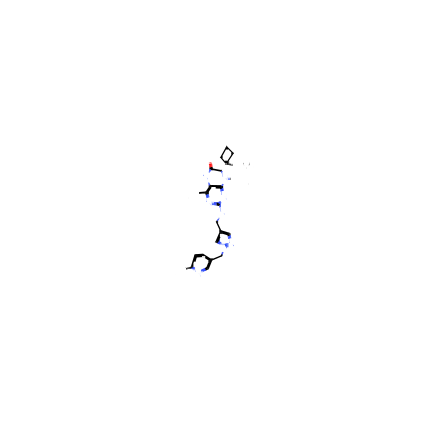 COC1([C@H]2C(=O)Nc3c(C)nc(NCc4cnn(Cc5ccc(C(F)(F)F)nc5)c4)nc3N2C)CCC1